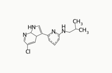 CC(C)CNc1cccc(C2=CNC3N=CC(Cl)=CC23)n1